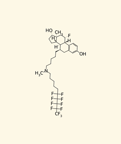 CN(CCCCC[C@@H]1Cc2cc(O)ccc2[C@@H]2[C@@H]1[C@@H]1CC[C@H](O)[C@@]1(C)C[C@@H]2F)CCCCCC(F)(F)C(F)(F)C(F)(F)C(F)(F)C(F)(F)F